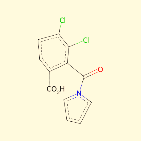 O=C(O)c1ccc(Cl)c(Cl)c1C(=O)n1cccc1